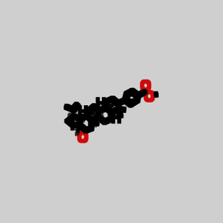 C=C(C)[C@@H]1CC[C@]2(C=O)CC[C@]3(C)[C@H](CC[C@@H]4[C@@]5(C)CC=C(c6ccc(C(=O)OC)cc6)C(C)(C)[C@@H]5CC[C@]43C)[C@@H]12